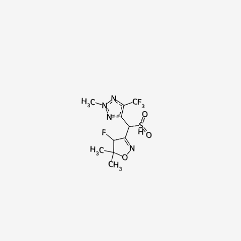 Cn1nc(C(C2=NOC(C)(C)C2F)[SH](=O)=O)c(C(F)(F)F)n1